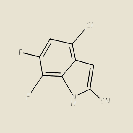 N#Cc1cc2c(Cl)cc(F)c(F)c2[nH]1